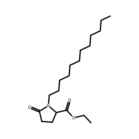 CCCCCCCCCCCCN1C(=O)CCC1C(=O)OCC